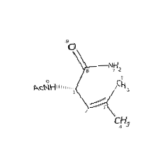 CC(=O)N[C@@H](C=C(C)C)C(N)=O